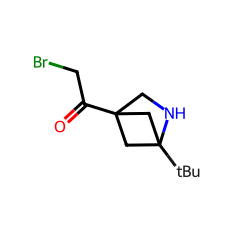 CC(C)(C)C12CC(C(=O)CBr)(CN1)C2